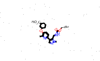 CC[C@H](C)COC(=O)NCc1c(-c2ccc(O[C@H]3CCCC(C(=O)O)C3)c(C)n2)cnn1C